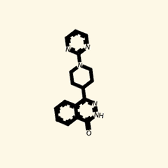 O=c1[nH]nc(C2CCN(c3ncccn3)CC2)c2ccccc12